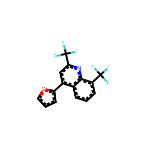 FC(F)(F)c1cc(-c2ccco2)c2cccc(C(F)(F)F)c2n1